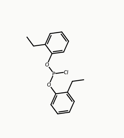 CCc1ccccc1OP(Cl)Oc1ccccc1CC